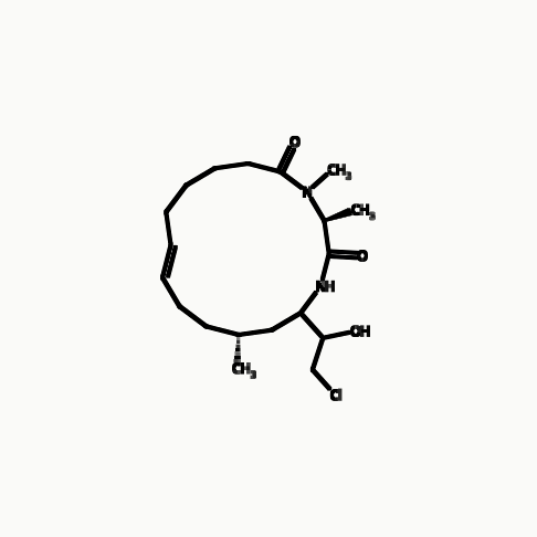 C[C@@H]1CC/C=C/CCCCC(=O)N(C)[C@@H](C)C(=O)NC(C(O)CCl)C1